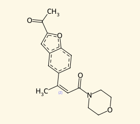 CC(=O)c1cc2cc(/C(C)=C\C(=O)N3CCOCC3)ccc2o1